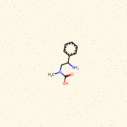 CN(CC(N)c1ccccc1)C(=O)O